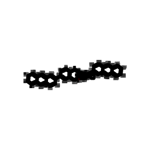 O=C1OC2C3c4ccc(-c5ccc6cc7ccccc7cc6c5)cc4C(c4ccc(-c5ccc6cc7ccccc7cc6c5)cc43)C2O1